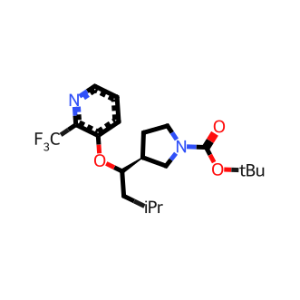 CC(C)CC(Oc1cccnc1C(F)(F)F)[C@H]1CCN(C(=O)OC(C)(C)C)C1